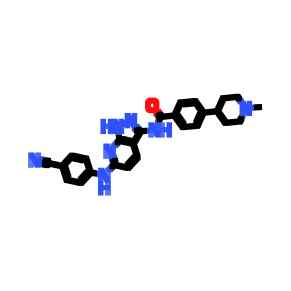 CN1CCC(c2ccc(C(=O)Nc3n[nH]c4nc(Nc5ccc(C#N)cc5)ccc34)cc2)CC1